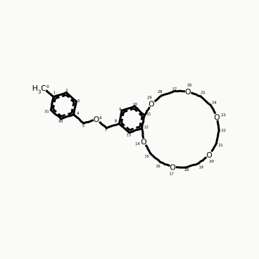 Cc1ccc(COCc2ccc3c(c2)OCCOCCOCCOCCOCCO3)cc1